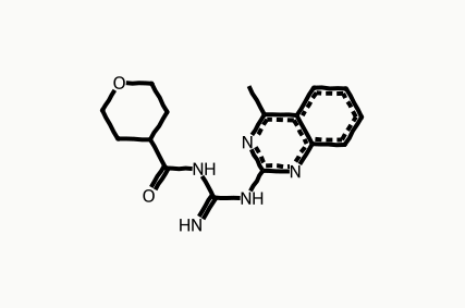 Cc1nc(NC(=N)NC(=O)C2CCOCC2)nc2ccccc12